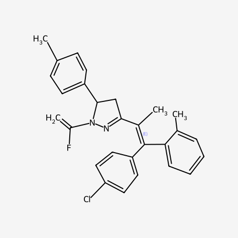 C=C(F)N1N=C(/C(C)=C(\c2ccc(Cl)cc2)c2ccccc2C)CC1c1ccc(C)cc1